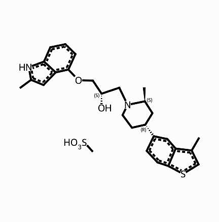 CS(=O)(=O)O.Cc1cc2c(OC[C@@H](O)CN3CC[C@@H](c4ccc5scc(C)c5c4)C[C@@H]3C)cccc2[nH]1